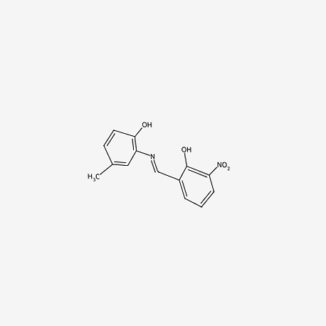 Cc1ccc(O)c(N=Cc2cccc([N+](=O)[O-])c2O)c1